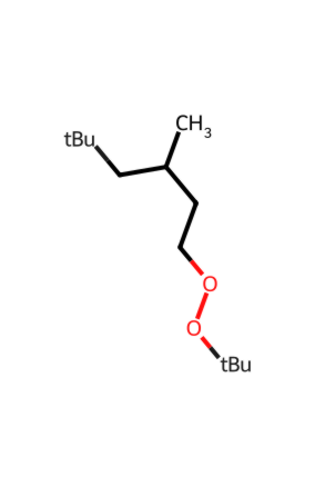 CC(CCOOC(C)(C)C)CC(C)(C)C